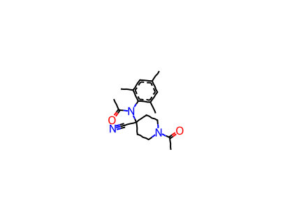 CC(=O)N1CCC(C#N)(N(C(C)=O)c2c(C)cc(C)cc2C)CC1